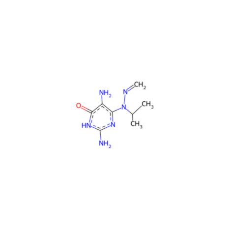 C=NN(c1nc(N)[nH]c(=O)c1N)C(C)C